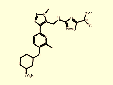 CC[C@H](OC)c1nc(NCc2c(-c3ccc(OC4CCCC(C(=O)O)C4)c(C)n3)nnn2C)no1